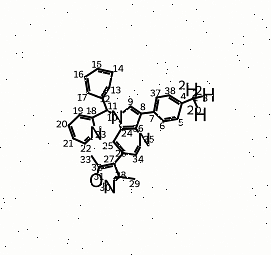 [2H]C([2H])([2H])c1ccc(-c2cn([C@H](c3ccccc3)c3ccccn3)c3cc(-c4c(C)noc4C)cnc23)cc1